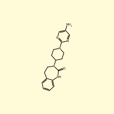 Nc1cnc(N2CCC(N3CCc4ccccc4NC3=O)CC2)nc1